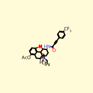 CC(=O)Oc1ccc2c3c1C[C@@H]1[C@@H]4CC[C@H](NC(=O)C#Cc5ccc(C(F)(F)F)cc5)[C@H](O2)[C@]34CC[N+]1(C)CC(C)C